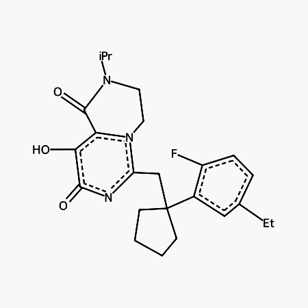 CCc1ccc(F)c(C2(Cc3nc(=O)c(O)c4n3CCN(C(C)C)C4=O)CCCC2)c1